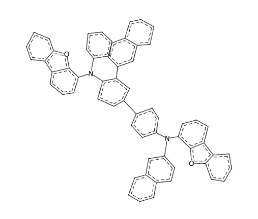 c1ccc(N(c2ccc(-c3ccc(N(c4ccc5ccccc5c4)c4cccc5c4oc4ccccc45)cc3)cc2-c2ccc3ccccc3c2)c2cccc3c2oc2ccccc23)cc1